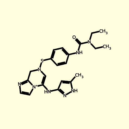 CCN(CC)C(=O)Nc1ccc(SN2C=C(Nc3cc(C)[nH]n3)[N+]3C=CN=C3C2)cc1